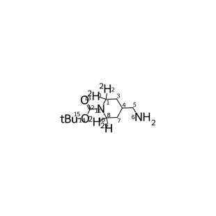 [2H]C1([2H])CC(CN)CC([2H])([2H])N1C(=O)OC(C)(C)C